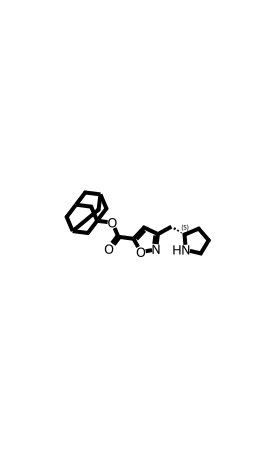 O=C(OC12CC3CC(CC(C3)C1)C2)c1cc(C[C@@H]2CCCN2)no1